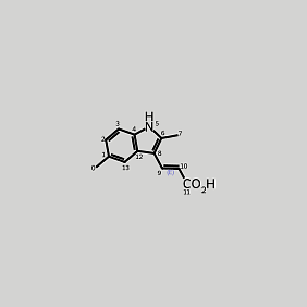 Cc1ccc2[nH]c(C)c(/C=C/C(=O)O)c2c1